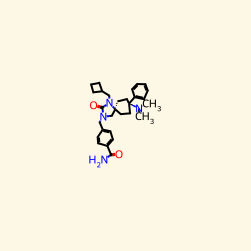 CN(C)[C@]1(c2ccccc2)CC[C@]2(CC1)CN(Cc1ccc(C(N)=O)cc1)C(=O)N2CC1CCC1